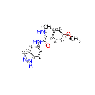 CNC(C(=O)Nc1ccc2[nH]ncc2c1)c1ccc(OC)cc1